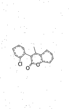 Cc1c(-c2ccccc2Cl)c(=O)oc2ccccc12